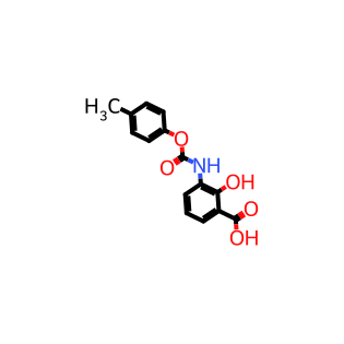 Cc1ccc(OC(=O)Nc2cccc(C(=O)O)c2O)cc1